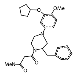 CNC(=O)CC(=O)N1CCN(c2ccc(OC)c(OC3CCCC3)c2)CC1Cc1ccccc1